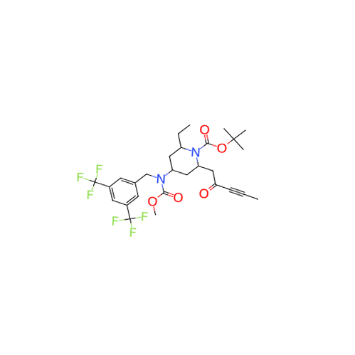 CC#CC(=O)CC1CC(N(Cc2cc(C(F)(F)F)cc(C(F)(F)F)c2)C(=O)OC)CC(CC)N1C(=O)OC(C)(C)C